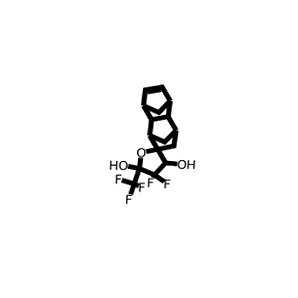 OC1C2(CC3CC2C2C4C=CC(C4)C32)OC(O)(C(F)(F)F)C1(F)F